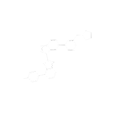 Fc1ccc(-c2cccc3[nH]c(-c4n[nH]c5cnc(-c6cncc(CN7CCCC7)c6)cc45)nc23)cc1